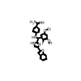 CCOc1cc(OC(C)C)c(F)c(C(Nc2ccc(C(=N)N)cc2)c2nc(-c3cc4ccccc4o3)c[nH]2)c1